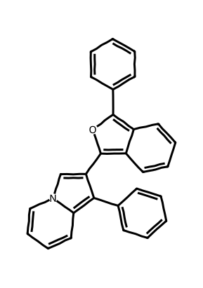 c1ccc(-c2oc(-c3cn4ccccc4c3-c3ccccc3)c3ccccc23)cc1